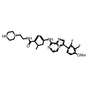 COc1ccc(-c2cnc3c(NC4=CC=C(C(=O)NCCN5CCNCC5)C(C)C4)nccn23)c(F)c1F